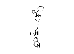 O=C(NCCCCC1CCN(C(=O)C2CCCCC2)CC1)c1cc2ccncc2s1